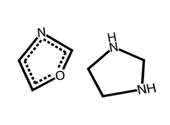 C1CNCN1.c1cocn1